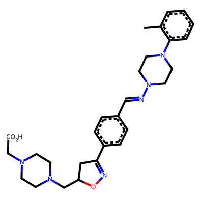 Cc1ccccc1N1CCN(N=Cc2ccc(C3=NOC(CN4CCN(CC(=O)O)CC4)C3)cc2)CC1